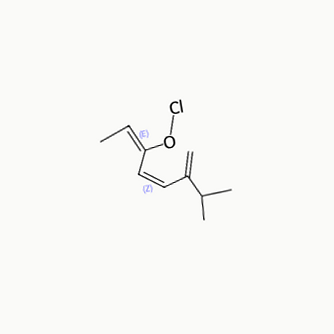 C=C(/C=C\C(=C/C)OCl)C(C)C